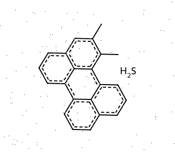 Cc1cc2cccc3c4cccc5cccc(c(c1C)c23)c54.S